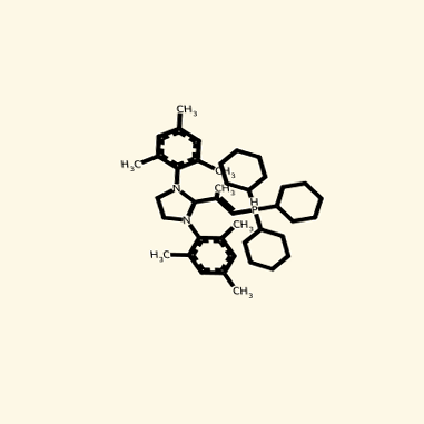 C/C(=C\[PH](C1CCCCC1)(C1CCCCC1)C1CCCCC1)C1N(c2c(C)cc(C)cc2C)CCN1c1c(C)cc(C)cc1C